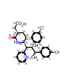 CC(c1ccc(Cl)cc1)C(C)C(c1ccccn1)[C@H]1NC(=O)[C@@H](CC(=O)O)C[C@@H]1c1cccc(Cl)c1